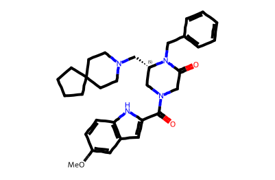 COc1ccc2[nH]c(C(=O)N3CC(=O)N(Cc4ccccc4)[C@@H](CN4CCC5(CCCC5)CC4)C3)cc2c1